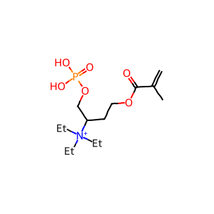 C=C(C)C(=O)OCCC(COP(=O)(O)O)[N+](CC)(CC)CC